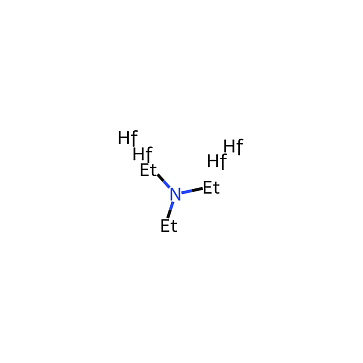 CCN(CC)CC.[Hf].[Hf].[Hf].[Hf]